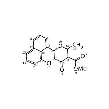 COC(=O)C1C(=O)CC(c2cccc3cccc(Cl)c23)OC1C